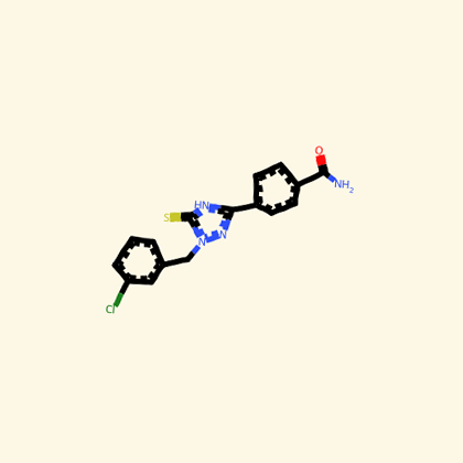 NC(=O)c1ccc(-c2nn(Cc3cccc(Cl)c3)c(=S)[nH]2)cc1